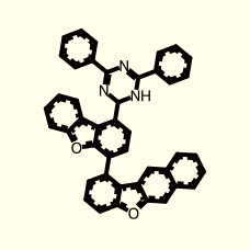 c1ccc(C2=NC(c3ccc(-c4cccc5oc6cc7ccccc7cc6c45)c4oc5ccccc5c34)NC(c3ccccc3)=N2)cc1